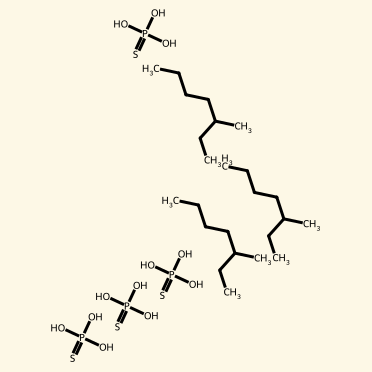 CCCCC(C)CC.CCCCC(C)CC.CCCCC(C)CC.OP(O)(O)=S.OP(O)(O)=S.OP(O)(O)=S.OP(O)(O)=S